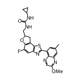 COc1cnc2c(-c3nc4cc(F)c5c(c4s3)CC(CNC(=O)NC3CC3)O5)cc(C)cc2n1